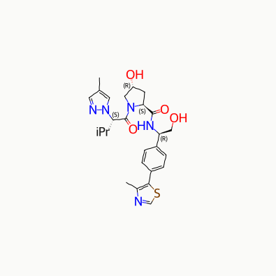 Cc1cnn([C@H](C(=O)N2C[C@H](O)C[C@H]2C(=O)N[C@@H](CO)c2ccc(-c3scnc3C)cc2)C(C)C)c1